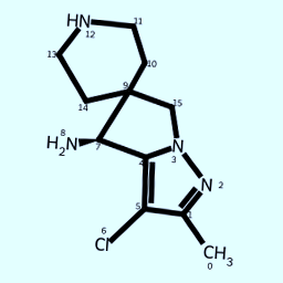 Cc1nn2c(c1Cl)[C@@H](N)C1(CCNCC1)C2